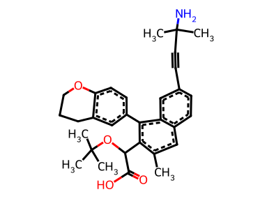 Cc1cc2ccc(C#CC(C)(C)N)cc2c(-c2ccc3c(c2)CCCO3)c1C(OC(C)(C)C)C(=O)O